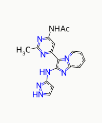 CC(=O)Nc1cc(-c2c(Nc3cc[nH]n3)nc3ccccn23)nc(C)n1